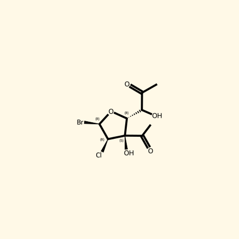 CC(=O)C(O)[C@H]1O[C@H](Br)[C@H](Cl)[C@@]1(O)C(C)=O